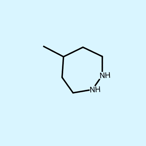 CC1CCNNCC1